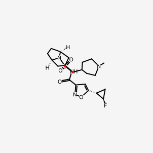 CN1CCC(CS(=O)(=O)N2[C@@H]3CC[C@H]2CC(NC(=O)c2cc([C@@H]4C[C@H]4F)on2)C3)CC1